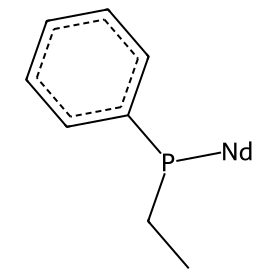 CC[P]([Nd])c1ccccc1